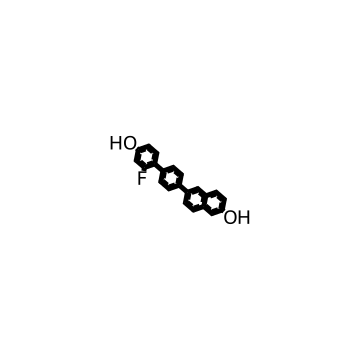 Oc1ccc(-c2ccc(-c3ccc4cc(O)ccc4c3)cc2)c(F)c1